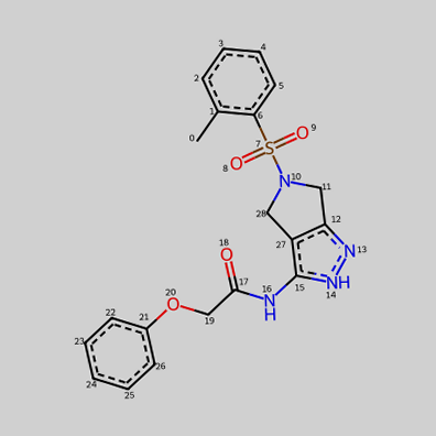 Cc1ccccc1S(=O)(=O)N1Cc2n[nH]c(NC(=O)COc3ccccc3)c2C1